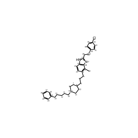 Cc1c(CCCC2CCN(CCCCCc3ccccc3)CC2)ccc2[nH]c(COc3ccc(Cl)cc3)nc12